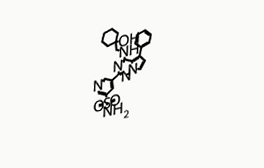 NS(=O)(=O)c1cncc(-c2nc(NCC3(O)CCCCC3)c3c(-c4ccccc4)ccn3n2)c1